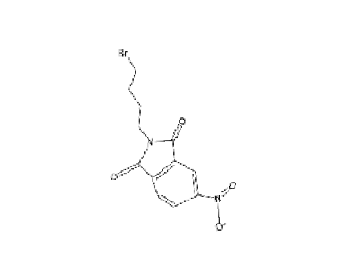 O=C1c2ccc([N+](=O)[O-])cc2C(=O)N1CCCCBr